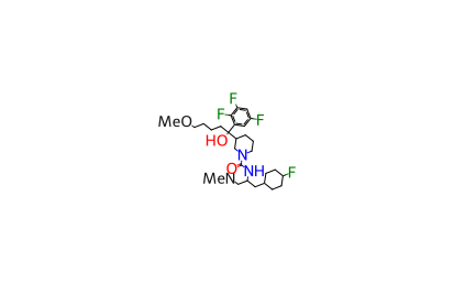 CNCC(CC1CCC(F)CC1)NC(=O)N1CCCC(C(O)(CCCCOC)c2cc(F)cc(F)c2F)C1